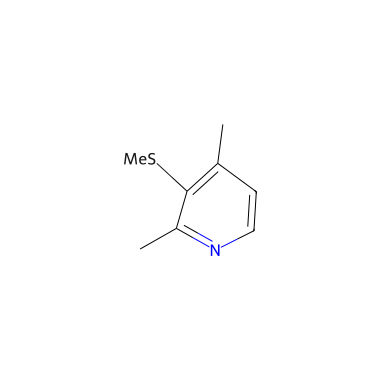 CSc1c(C)ccnc1C